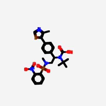 Cc1ncsc1-c1ccc(C(CN(C)S(=O)(=O)c2ccccc2[N+](=O)[O-])N(C(=O)O)C(C)(C)C)cc1